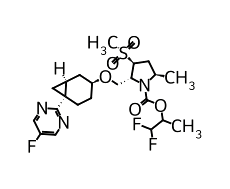 CC(OC(=O)N1[C@H](C)C[C@H](S(C)(=O)=O)[C@H]1CO[C@H]1CC[C@@]2(c3ncc(F)cn3)C[C@H]2C1)C(F)F